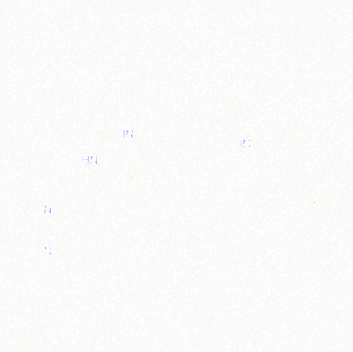 O=C(Nc1ccc(C(=O)NCC2CCOCC2)cc1)Nc1ccc2nccn2c1